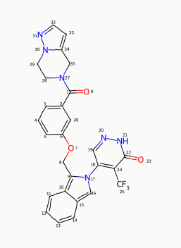 O=C(c1cccc(OCc2c3ccccc3cn2-c2cn[nH]c(=O)c2C(F)(F)F)c1)N1CCn2nccc2C1